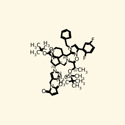 C[C@H](O[Si](C)(C)C(C)(C)C)C(=O)N(C[C@@H]1CN(C(=O)OC(C)(C)C)C[C@H]1n1cc(CN2C(=O)C=CC2=O)nn1)[C@@H](c1nc(-c2cc(F)ccc2F)cn1Cc1ccccc1)C1CCOCC1